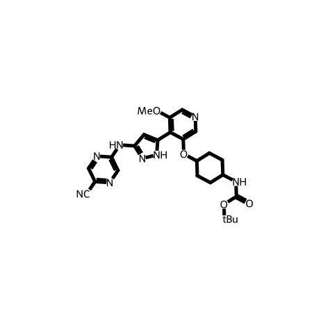 COc1cncc(OC2CCC(NC(=O)OC(C)(C)C)CC2)c1-c1cc(Nc2cnc(C#N)cn2)n[nH]1